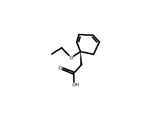 CCO[C@]1(CC(=O)O)C=CC=CC1